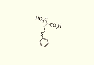 O=C(O)C(CCSc1ccccc1)C(=O)O